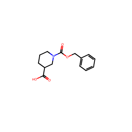 O=C(O)C1CCCN(C(=O)OCc2ccccc2)C1